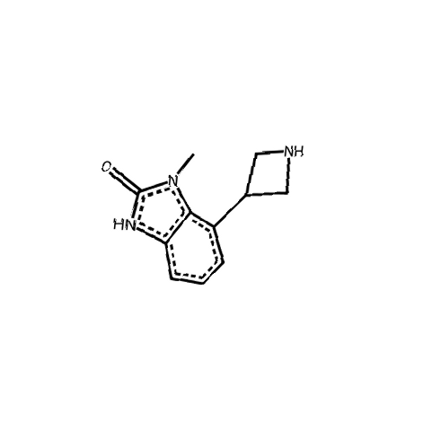 Cn1c(=O)[nH]c2cccc(C3CNC3)c21